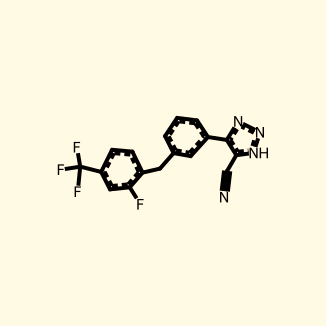 N#Cc1[nH]nnc1-c1cccc(Cc2ccc(C(F)(F)F)cc2F)c1